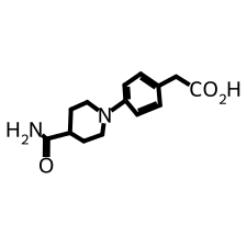 NC(=O)C1CCN(c2ccc(CC(=O)O)cc2)CC1